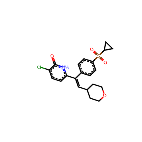 O=c1[nH]c(/C(=C/C2CCOCC2)c2ccc(S(=O)(=O)C3CC3)cc2)ccc1Cl